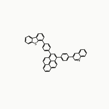 c1ccc2ncc(-c3ccc(-c4cc(-c5ccc(-c6cccc7c6sc6ccccc67)cc5)c5ccc6cccc7ccc4c5c76)cc3)cc2c1